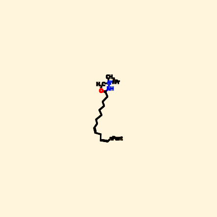 CCCCC/C=C\C/C=C\CCCCCCCC(=O)N[N+](C)(C)CCC